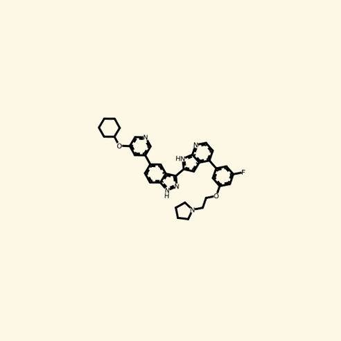 Fc1cc(OCCN2CCCC2)cc(-c2ccnc3[nH]c(-c4n[nH]c5ccc(-c6cncc(OC7CCCCC7)c6)cc45)cc23)c1